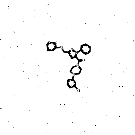 O=C(c1cc(COc2ccccc2)nn1-c1ccccc1)N1CCN(c2cccc(Cl)c2)CC1